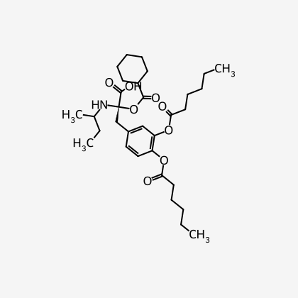 CCCCCC(=O)Oc1ccc(C[C@](NC(C)CC)(OC(=O)C2CCCCC2)C(=O)O)cc1OC(=O)CCCCC